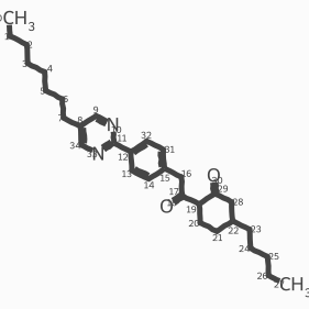 CCCCCCCCc1cnc(-c2ccc(CC(=O)C3CCC(CCCCC)CC3=O)cc2)nc1